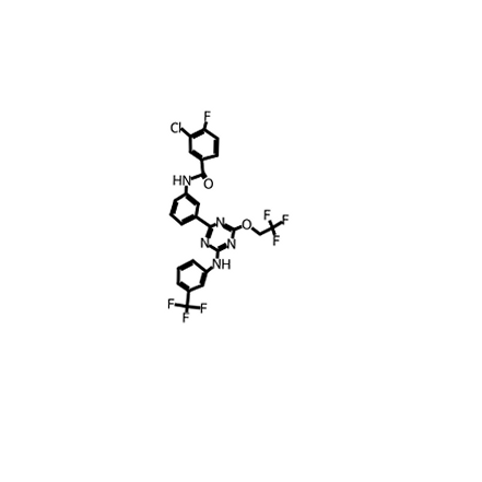 O=C(Nc1cccc(-c2nc(Nc3cccc(C(F)(F)F)c3)nc(OCC(F)(F)F)n2)c1)c1ccc(F)c(Cl)c1